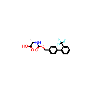 C[C@H](NC(=O)OCc1ccc(-c2ccccc2C(F)(F)F)cc1)C(=O)O